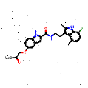 COC(=O)COc1ccc2[nH]c(C(=O)NCCc3c(C)[nH]c4c(F)ccc(C)c34)cc2c1